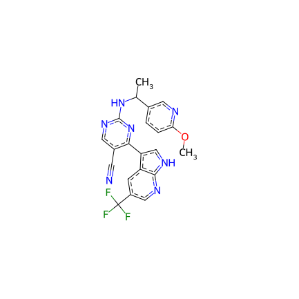 COc1ccc(C(C)Nc2ncc(C#N)c(-c3c[nH]c4ncc(C(F)(F)F)cc34)n2)cn1